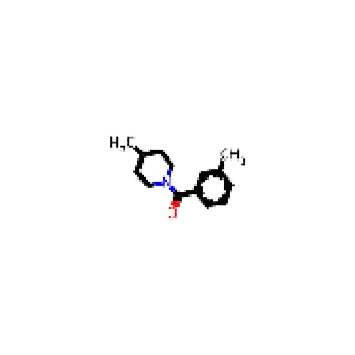 Cc1cc[c]c(C(=O)N2CCC(C)CC2)c1